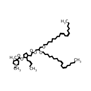 CC/C=C\CC1C(CC(=O)OCC(COCCCCCCCC/C=C\C/C=C\CCCCC)OCCCCCCCC/C=C\C/C=C\CCCCC)CCC1OC(=O)C1(C)CCN(C)CC1